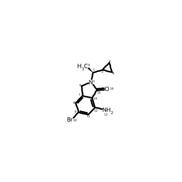 C[C@@H](C1CC1)N1Cc2cc(Br)cc(N)c2C1=O